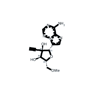 C#C[C@@]1(O)[C@H](O)[C@@H](COC)O[C@H]1c1cnc2c(N)ncnn12